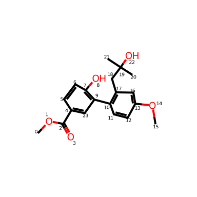 COC(=O)c1ccc(O)c(-c2ccc(OC)cc2CC(C)(C)O)c1